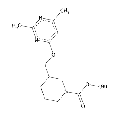 Cc1cc(OCC2CCCN(C(=O)OC(C)(C)C)C2)nc(C)n1